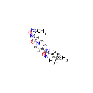 Cc1nonc1CC(=O)N1CCC(c2nc(C3CCC(C)(C)C3)no2)CC1